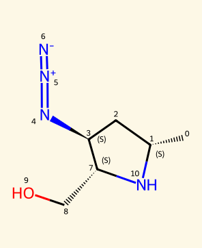 C[C@H]1C[C@H](N=[N+]=[N-])[C@@H](CO)N1